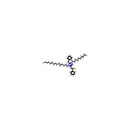 CCCCCCCCCCCCCCC[n+]1c(CC(C)c2ccccc2)cn(CCCCCCCCCC)c1Cc1ccccc1